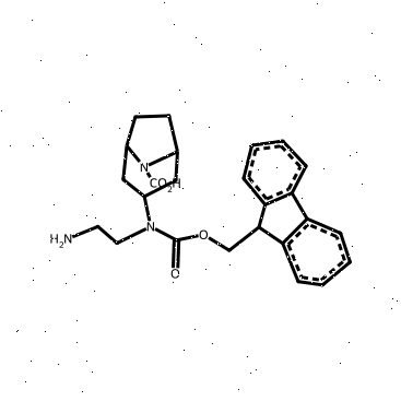 NCCN(C(=O)OCC1c2ccccc2-c2ccccc21)C1CC2CCC(C1)N2C(=O)O